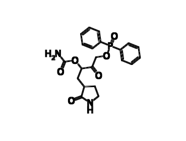 NC(=O)OC(CC1CCNC1=O)C(=O)COP(=O)(c1ccccc1)c1ccccc1